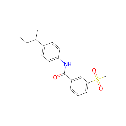 CCC(C)c1ccc(NC(=O)c2cccc(S(C)(=O)=O)c2)cc1